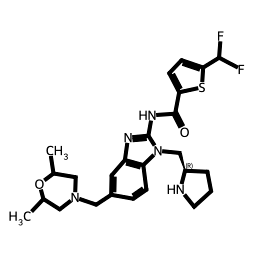 CC1CN(Cc2ccc3c(c2)nc(NC(=O)c2ccc(C(F)F)s2)n3C[C@H]2CCCN2)CC(C)O1